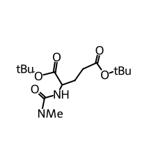 CNC(=O)NC(CCC(=O)OC(C)(C)C)C(=O)OC(C)(C)C